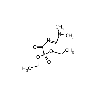 CCOP(=O)(OCC)C(=O)/N=C/N(C)C